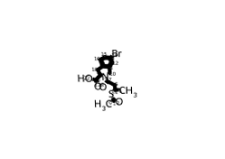 CC(=O)SC(C)CC(=O)N1Cc2cc(Br)ccc2CC1C(=O)O